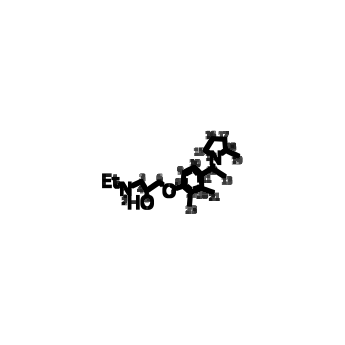 CCN(C)C[C@H](O)COc1ccc(C(C)N2CCCC2C)c(C)c1C